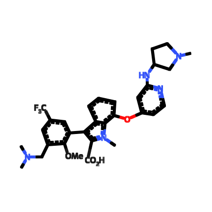 COc1c(CN(C)C)cc(C(F)(F)F)cc1-c1c(C(=O)O)n(C)c2c(Oc3ccnc(NC4CCN(C)C4)c3)cccc12